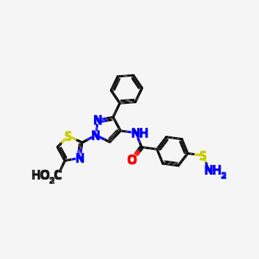 NSc1ccc(C(=O)Nc2cn(-c3nc(C(=O)O)cs3)nc2-c2ccccc2)cc1